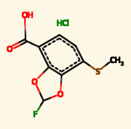 CSc1ccc(C(=O)O)c2c1OC(F)O2.Cl